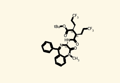 CN1C(=O)[C@@H](NC(=O)[C@H](CCC(F)(F)F)[C@H](CCC(F)(F)F)C(=O)OC(C)(C)C)N=C(c2ccccc2)c2ccccc21